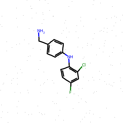 NCc1ccc(Nc2ccc(F)cc2Cl)cc1